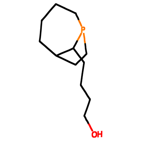 OCCCCC1C2CCCCP1CC2